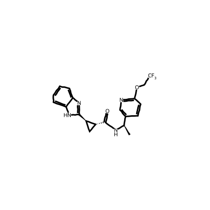 C[C@@H](NC(=O)[C@@H]1C[C@H]1c1nc2ccccc2[nH]1)c1ccc(OCC(F)(F)F)nc1